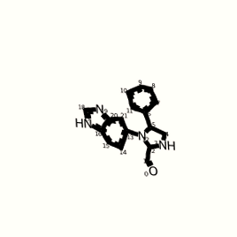 O=CC1NCC(c2ccccc2)N1c1ccc2[nH]cnc2c1